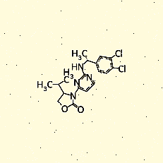 CC(C)C1COC(=O)N1c1ccnc(N[C@H](C)c2ccc(Cl)c(Cl)c2)n1